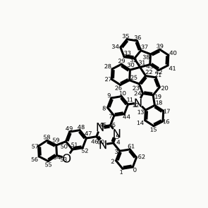 c1ccc(-c2nc(-c3cccc(-n4c5ccccc5c5ccc6c(c54)-c4ccccc4C64c5ccccc5-c5ccccc54)c3)nc(-c3ccc4c(c3)oc3ccccc34)n2)cc1